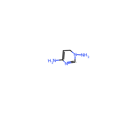 NC1=CCN(N)[C]=N1